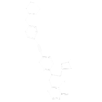 O=c1[nH]cnc(CC(CN2CC(O)C2)c2ccc(C#Cc3ccc(CN4CCOCC4)cc3)cc2F)c1O